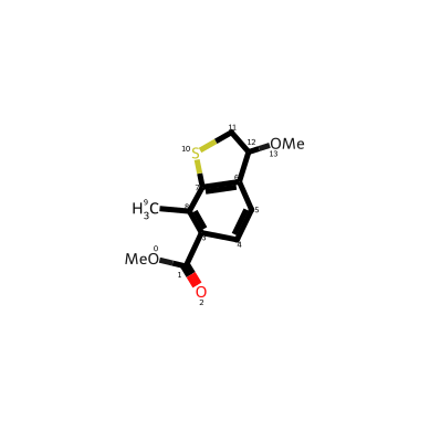 COC(=O)c1ccc2c(c1C)SCC2OC